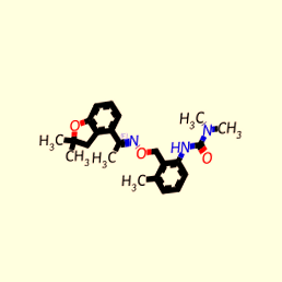 C/C(=N\OCc1c(C)cccc1NC(=O)N(C)C)c1cccc2c1CC(C)(C)O2